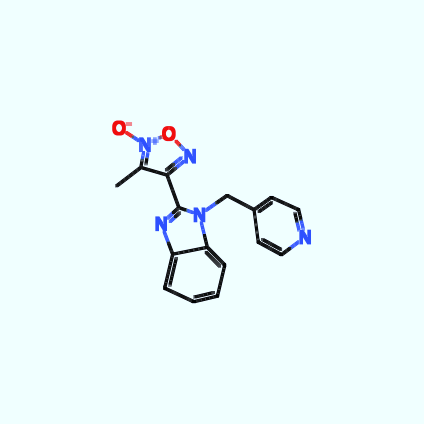 Cc1c(-c2nc3ccccc3n2Cc2ccncc2)no[n+]1[O-]